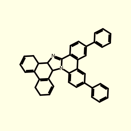 C1=CCC2C(=C1)C1=C(C=CCC1)C1C2N=C2c3ccc(-c4ccccc4)cc3-c3cc(-c4ccccc4)ccc3N21